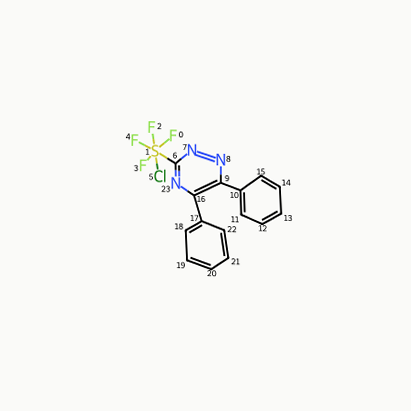 FS(F)(F)(F)(Cl)c1nnc(-c2ccccc2)c(-c2ccccc2)n1